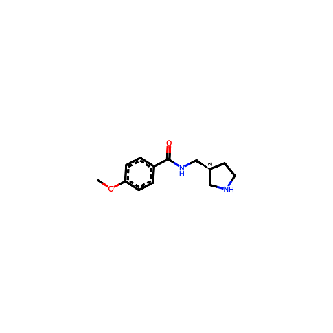 COc1ccc(C(=O)NC[C@H]2CCNC2)cc1